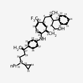 C=C1C=C(CC(=C)C(CCO)c2ccccc2)C(C(F)(F)F)=CN=C1Nc1ccc(C(=C)CCN(CCC)C2CC2)cc1